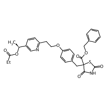 CCC(=O)O[C@@H](C)c1ccc(CCOc2ccc(CC3(C(=O)OCc4ccccc4)SC(=O)NC3=O)cc2)nc1